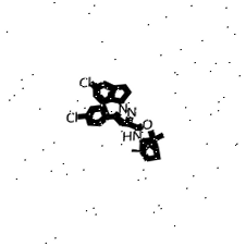 CC1(C)C2CC[C@@](C)(C2)C1NC(=O)c1cc(-c2ccc(Cl)cc2)n(C2CCc3cc(Cl)ccc32)n1